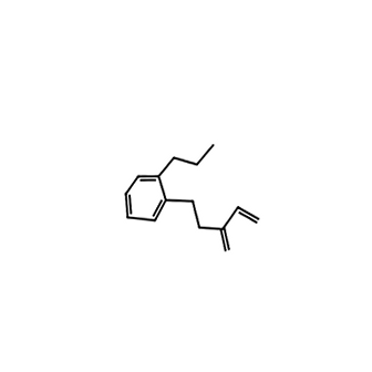 C=CC(=C)CCc1ccccc1CCC